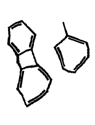 Cc1ccccc1.c1ccc2c(c1)-c1ccccc1-2